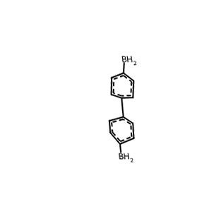 Bc1ccc(-c2ccc(B)cc2)cc1